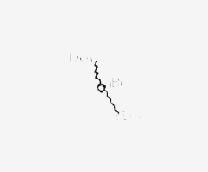 [CH2]CCCc1c(CCCCCCCCCCCCCCCCC)cccc1CCCCCCCCCCCCCCCCC